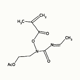 C=C(C)C(=O)ON(CCOC(C)=O)C(=O)N=CC